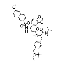 CCN(Cc1ccc(CC(NC(=O)CC(NS(=O)(=O)c2ccc3cc(OC)ccc3c2)c2ccc3c(c2)OCO3)C(=O)N(C)C(C)C)cc1)C(C)(C)C